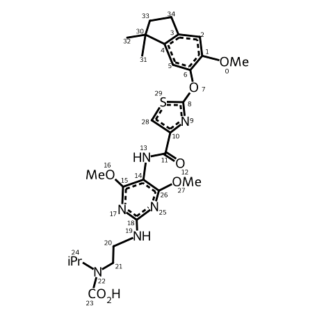 COc1cc2c(cc1Oc1nc(C(=O)Nc3c(OC)nc(NCCN(C(=O)O)C(C)C)nc3OC)cs1)C(C)(C)CC2